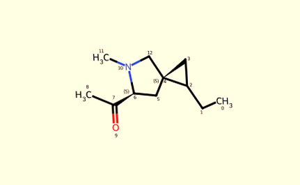 CCC1C[C@]12C[C@@H](C(C)=O)N(C)C2